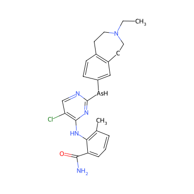 CCN1CCc2ccc([AsH]c3ncc(Cl)c(Nc4c(C)cccc4C(N)=O)n3)cc2CC1